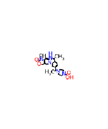 CC(Nc1cc2c(cn1)COC(=O)N2C)c1ccc(C(C)N2CCN(C(=O)O)CC2)cc1